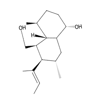 C/C=C(\C)[C@H]1[C@@H](CO)[C@H]2C(C[C@@H]1C)[C@@H](O)CC[C@@H]2C